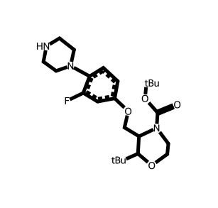 CC(C)(C)OC(=O)N1CCOC(C(C)(C)C)C1COc1ccc(N2CCNCC2)c(F)c1